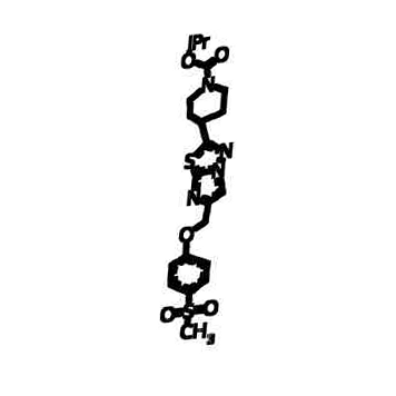 CC(C)OC(=O)N1CCC(c2nn3cc(COc4ccc(S(C)(=O)=O)cc4)nc3s2)CC1